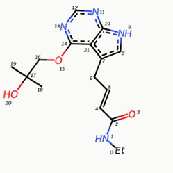 CCNC(=O)C=CCc1c[nH]c2ncnc(OCC(C)(C)O)c12